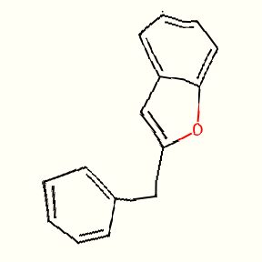 [c]1ccc2oc(Cc3ccccc3)cc2c1